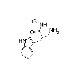 CC(C)(C)NC(=O)C(CN)Cc1c[nH]c2ccccc12